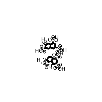 Nc1cc2c(S(=O)(=O)O)cc(S(=O)(=O)O)cc2cc1S(=O)(=O)O.Nc1ccc2c(S(=O)(=O)O)cc(S(=O)(=O)O)cc2c1S(=O)(=O)O